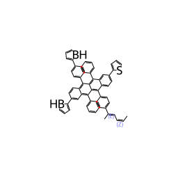 C/C=C\C=C(/C)c1ccc(-c2c3ccc(-c4cccs4)cc3c(-c3ccccc3)c3c(-c4ccc(C5=CC=CB5)cc4)c4ccc(C5=CC=CB5)cc4c(-c4ccccc4)c23)cc1